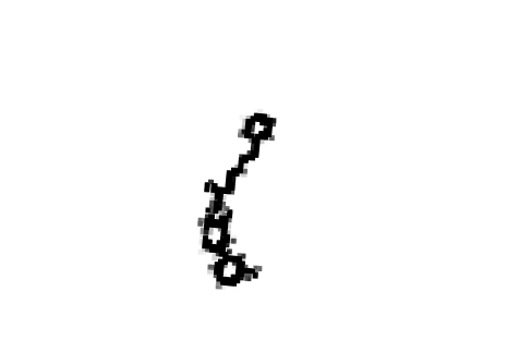 O=C(CCCCCc1ccccc1)c1nc2ncc(-c3cccc(F)c3)cc2o1